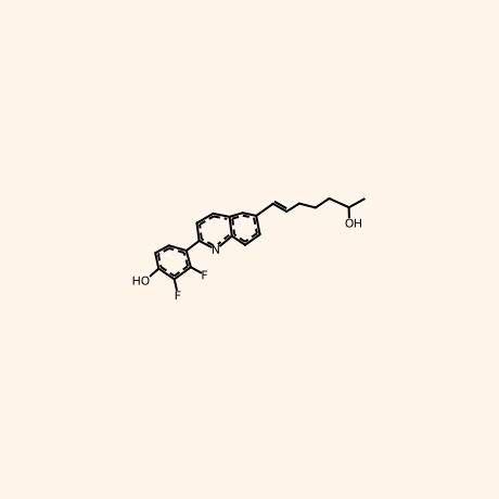 CC(O)CCC/C=C/c1ccc2nc(-c3ccc(O)c(F)c3F)ccc2c1